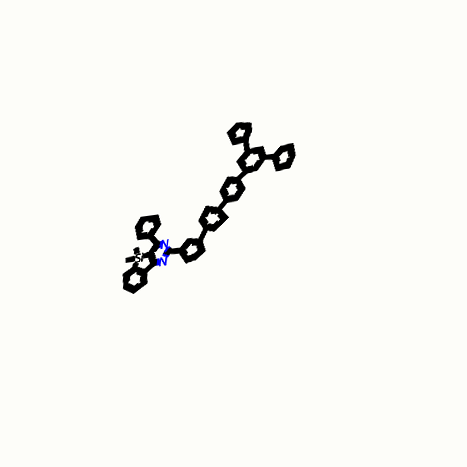 C[Si]1(C)c2ccccc2-c2nc(-c3cccc(-c4ccc(-c5ccc(-c6cc(-c7ccccc7)cc(-c7ccccc7)c6)cc5)cc4)c3)nc(-c3ccccc3)c21